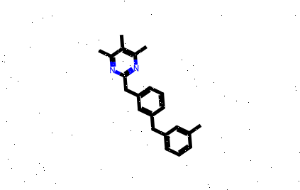 Cc1cccc(Cc2cccc(Cc3nc(C)c(C)c(C)n3)c2)c1